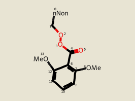 [CH2]CCCCCCCCCOOC(=O)c1c(OC)cccc1OC